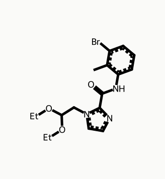 CCOC(Cn1ccnc1C(=O)Nc1cccc(Br)c1C)OCC